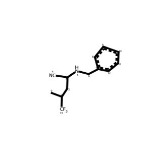 CC(CC(C#N)NCc1ccccc1)C(F)(F)F